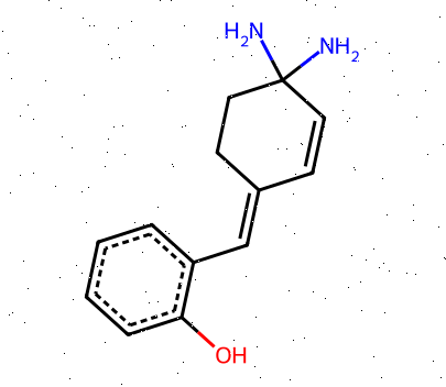 NC1(N)C=CC(=Cc2ccccc2O)CC1